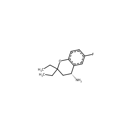 CCC1(CC)C[C@@H](N)c2cc(F)ccc2O1